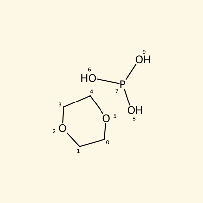 C1COCCO1.OP(O)O